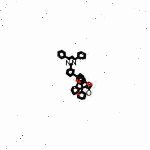 c1ccc(-c2cc(-c3ccccc3)nc(-c3cccc(-c4ccc(-c5cccc6c5C5(c7ccccc7O6)c6ccccc6-c6ccccc65)cc4)c3)n2)cc1